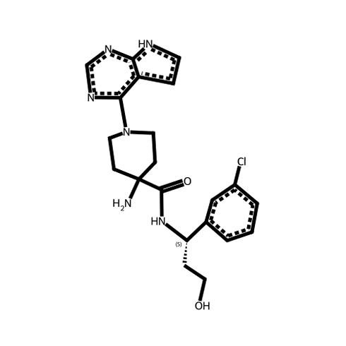 NC1(C(=O)N[C@@H](CCO)c2cccc(Cl)c2)CCN(c2ncnc3[nH]ccc23)CC1